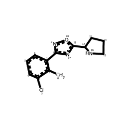 Cc1c(Cl)cccc1-c1noc(C2CCCN2)n1